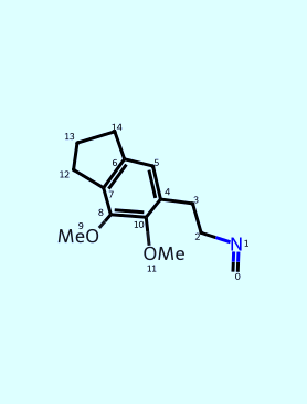 C=NCCc1cc2c(c(OC)c1OC)CCC2